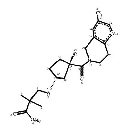 COC(=O)C(C)(C)CN[C@@H]1CC[C@@](C(=O)N2CCc3ncc(C(F)(F)F)cc3C2)(C(C)C)C1